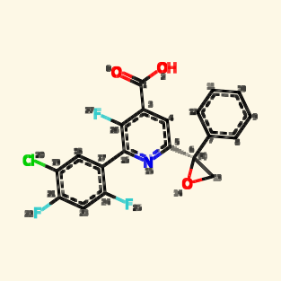 O=C(O)c1cc([C@]2(c3ccccc3)CO2)nc(-c2cc(Cl)c(F)cc2F)c1F